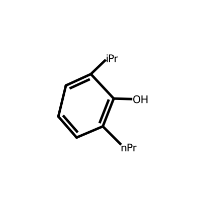 CCCc1cccc(C(C)C)c1O